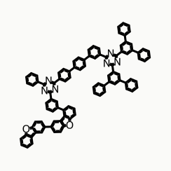 c1ccc(-c2cc(-c3ccccc3)cc(-c3nc(-c4cccc(-c5ccc(-c6ccc(-c7nc(-c8ccccc8)nc(-c8cccc(-c9cccc%10oc%11ccc(-c%12ccc%13oc%14ccccc%14c%13c%12)cc%11c9%10)c8)n7)cc6)cc5)c4)nc(-c4cc(-c5ccccc5)cc(-c5ccccc5)c4)n3)c2)cc1